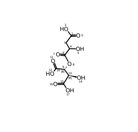 O=C(O)CC(O)C(=O)O[C@@H](C(=O)O)[C@@H](O)C(=O)O